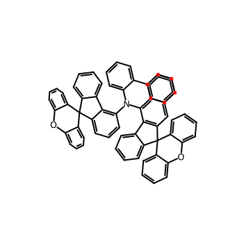 c1ccc(-c2ccccc2N(c2cccc3c2-c2ccccc2C32c3ccccc3Oc3ccccc32)c2c3c(cc4ccccc24)C2(c4ccccc4Oc4ccccc42)c2ccccc2-3)cc1